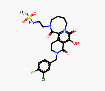 CS(=O)(=O)NCCN1CCCCn2c(c3c(c(O)c2=O)C(=O)N(Cc2ccc(F)c(Cl)c2)CC3)C1=O